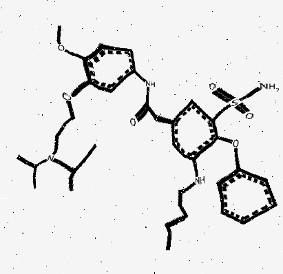 CCCCNc1cc(C(=O)Nc2ccc(OC)c(OCCN(C(C)C)C(C)C)c2)cc(S(N)(=O)=O)c1Oc1ccccc1